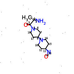 C[C@H](N)C(=O)N1CCC(N2CCC(N=O)CC2)CC1